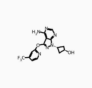 Nc1ncnc2c1c(Oc1cc(C(F)(F)F)ccn1)nn2[C@H]1C[C@H](O)C1